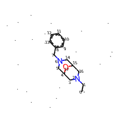 [CH2]CN1CC2CN(Cc3ccccc3)CC(C1)O2